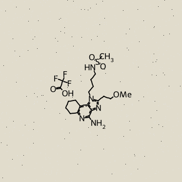 COCCc1nc2c(N)nc3c(c2n1CCCCNS(C)(=O)=O)CCCC3.O=C(O)C(F)(F)F